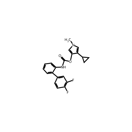 Cn1cc(OC(=O)Nc2ccccc2-c2ccc(F)c(F)c2)c(C2CC2)c1